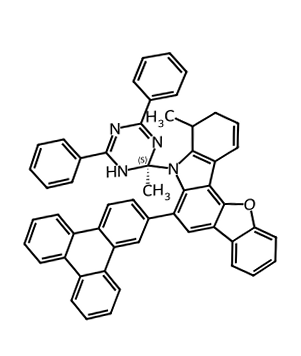 CC1CC=Cc2c1n([C@]1(C)N=C(c3ccccc3)N=C(c3ccccc3)N1)c1c(-c3ccc4c5ccccc5c5ccccc5c4c3)cc3c4ccccc4oc3c21